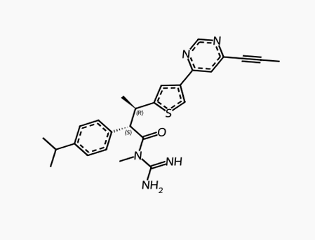 CC#Cc1cc(-c2csc([C@H](C)[C@H](C(=O)N(C)C(=N)N)c3ccc(C(C)C)cc3)c2)ncn1